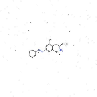 CC(C)c1cc(N=Nc2ccccc2)cc(C(C)C)c1C[C@H](N)C(=O)O